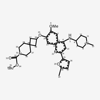 COc1cc2c(NC3CCN(C)CC3)cc(-c3ccc(C)o3)nc2cc1OC1CC2(CCN(C(=O)OC(C)(C)C)CC2)C1